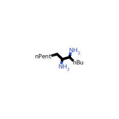 CCCCCCC(N)C(N)CCCC